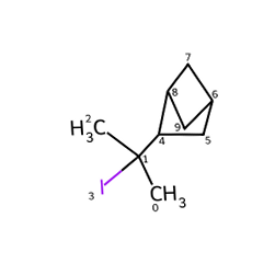 CC(C)(I)C1CC2CC1C2